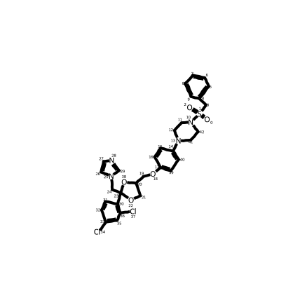 O=S(=O)(Cc1ccccc1)N1CCN(c2ccc(OCC3COC(Cn4ccnc4)(c4ccc(Cl)cc4Cl)O3)cc2)CC1